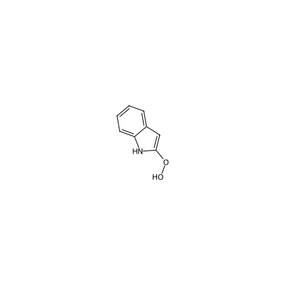 OOc1cc2ccccc2[nH]1